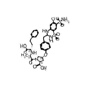 C[C@H](N[C@@H](CCc1ccccc1)C(=O)O)C(=O)N1C[C@@H](Oc2ccc(CC3Nc4cc(Cl)c(S(N)(=O)=O)cc4S(=O)(=O)N3)cc2)C[C@H]1C(=O)O